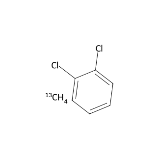 Clc1ccccc1Cl.[13CH4]